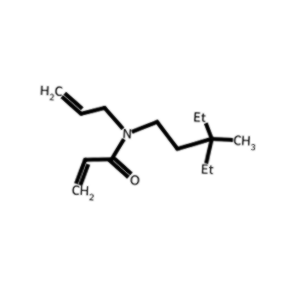 C=CCN(CCC(C)(CC)CC)C(=O)C=C